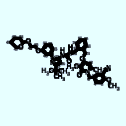 COc1ccc(Cn2c(C)cc(OCc3ccccc3CNC(=O)Nc3cc(C(C)(C)C)nn3-c3cccc(OCCOC4CCCCO4)c3)c(C)c2=O)cc1C#N